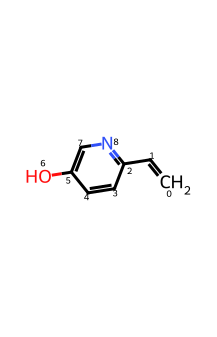 C=Cc1ccc(O)cn1